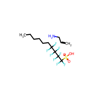 C=CCN.CCCCCCC(F)(F)C(F)(F)C(F)(F)C(F)(F)S(=O)(=O)O